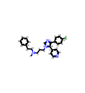 CN(CCCn1cnc(-c2ccc(F)cc2)c1-c1ccncc1)CCc1ccccc1